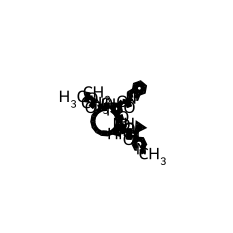 CN1CCC(N(C2CC2)S(=O)(=O)NC(=O)C23CC2C=CCCCCCC(NC(=O)OC(C)(C)C)C(=O)N2CC(OC(=O)N4Cc5ccccc5C4)CC2C(=O)N3)CC1